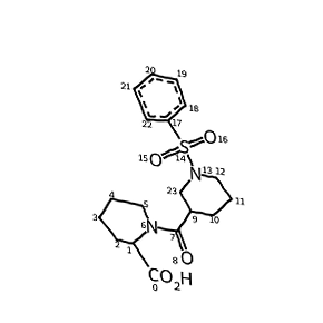 O=C(O)C1CCCCN1C(=O)C1CCCN(S(=O)(=O)c2ccccc2)C1